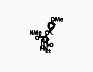 CCNC(=O)c1cc(O[C@@H](C)c2ccc(OC)cc2)c(C(=O)NC)[nH]1